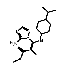 C=C(CC)/C(C)=C(/NC1CCC(C(C)C)CC1)n1ncnc1N